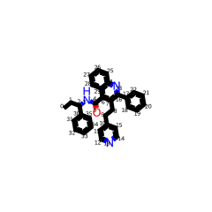 CCC(NC(=O)c1c(CCc2ccncc2)c(-c2ccccc2)nc2ccccc12)c1ccccc1